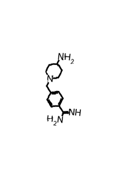 N=C(N)c1ccc(CN2CCC(N)CC2)cc1